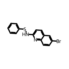 Brc1ccc2nc(NSc3ccccc3)ccc2c1